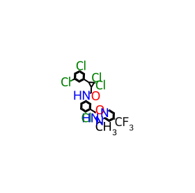 CN(NC(=O)c1cc(NC(=O)C2C(c3cc(Cl)cc(Cl)c3)C2(Cl)Cl)ccc1Cl)c1cc(C(F)(F)F)ccn1